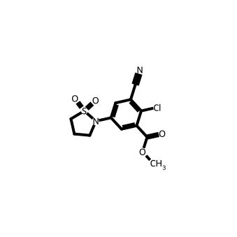 COC(=O)c1cc(N2CCCS2(=O)=O)cc(C#N)c1Cl